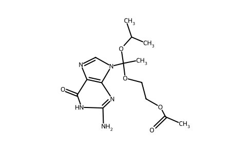 CC(=O)OCCOC(C)(OC(C)C)n1cnc2c(=O)[nH]c(N)nc21